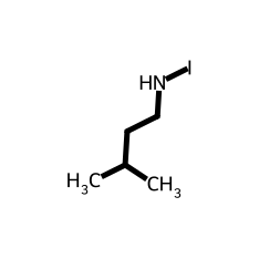 CC(C)CCNI